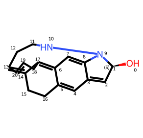 O[C@H]1C=c2cc3c4cc2N1NCCC1=C(CC3)C=4CC=C1